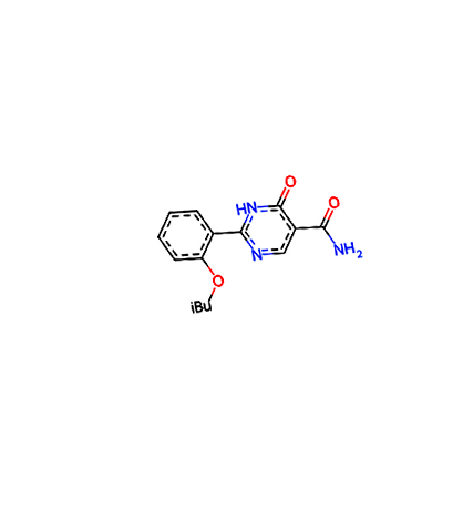 CCC(C)Oc1ccccc1-c1ncc(C(N)=O)c(=O)[nH]1